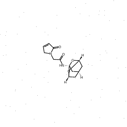 O=C(CN1CC=CC1=O)N[C@]12C[C@H]3C[C@H](C[C@H](C3)O1)O2